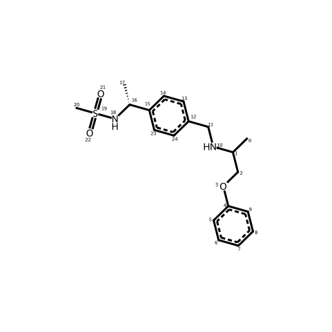 CC(COc1ccccc1)NCc1ccc([C@@H](C)NS(C)(=O)=O)cc1